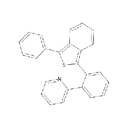 c1ccc(-c2sc(-c3ccccc3-c3ccccn3)c3ccccc23)cc1